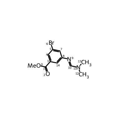 COC(=O)c1cc(Br)cc(N=CN(C)C)c1